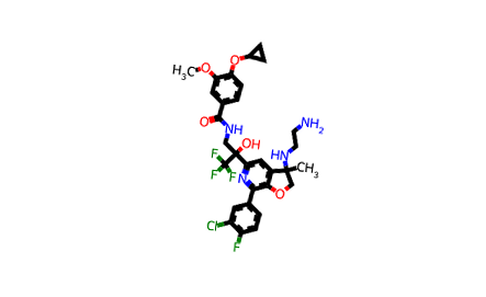 COc1cc(C(=O)NCC(O)(c2cc3c(c(-c4ccc(F)c(Cl)c4)n2)OCC3(C)NCCN)C(F)(F)F)ccc1OC1CC1